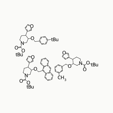 CC(C)(C)OC(=O)N1CCC(c2ccoc2)C(OCc2c3ccccc3cc3ccccc23)C1.CC(C)(C)OC(=O)N1CCC(c2ccoc2)C(OCc2ccc(C(C)(C)C)cc2)C1.Cc1cccc(COC2CN(C(=O)OC(C)(C)C)CCC2c2ccoc2)c1